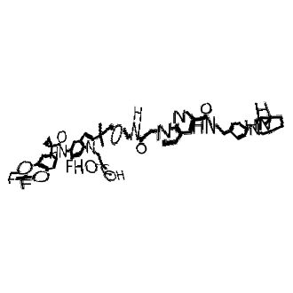 CC(C)(COCCNC(=O)Cn1ccc2cc(C(=O)NCCc3ccc(N4CC5CC[C@H](C4)N5)cc3)cnc21)c1cc2cc(NC(=O)C3(c4ccc5c(c4)OC(F)(F)O5)CC3)c(F)cc2n1C[C@@H](O)CO